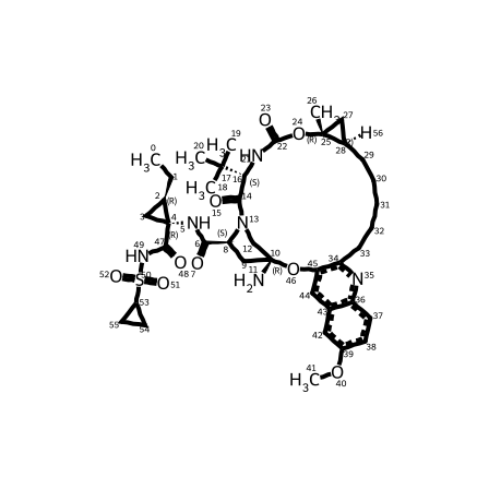 CC[C@@H]1C[C@]1(NC(=O)[C@@H]1C[C@]2(N)CN1C(=O)[C@H](C(C)(C)C)NC(=O)O[C@]1(C)C[C@H]1CCCCCc1nc3ccc(OC)cc3cc1O2)C(=O)NS(=O)(=O)C1CC1